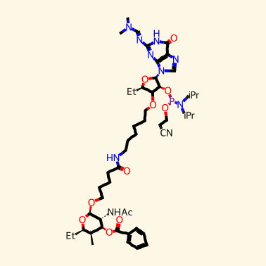 CC[C@H]1O[C@@H](n2cnc3c(=O)[nH]c(/N=C/N(C)C)nc32)[C@@H](OP(OCCC#N)N(C(C)C)C(C)C)C1OCCCCCCNC(=O)CCCCO[C@@H]1O[C@H](CC)[C@H](C)[C@H](OC(=O)c2ccccc2)[C@H]1NC(C)=O